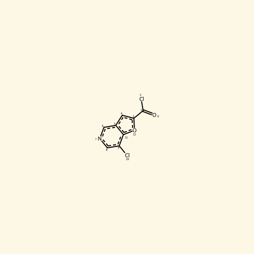 O=C(Cl)c1cc2cncc(Cl)c2o1